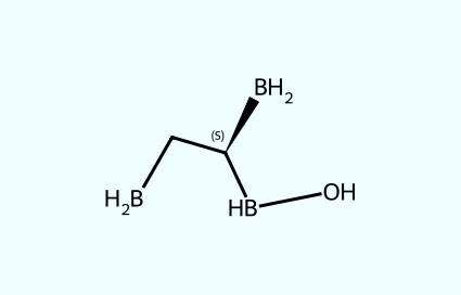 BC[C@@H](B)BO